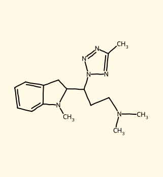 Cc1nnn(C(CCN(C)C)C2Cc3ccccc3N2C)n1